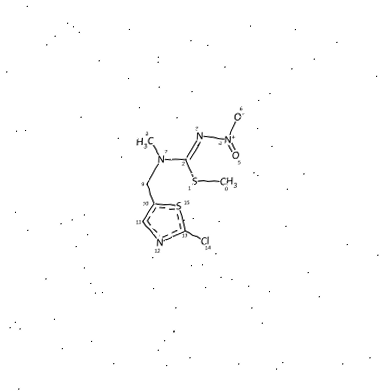 CSC(=N[N+](=O)[O-])N(C)Cc1cnc(Cl)s1